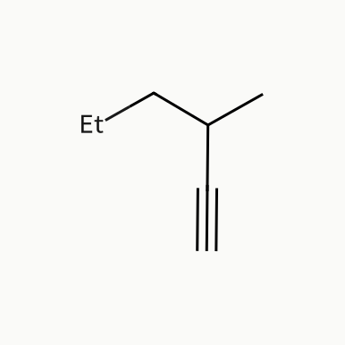 C#CC(C)CC[CH2]